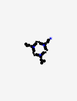 CC(C)c1ccc2cc3c(cc2c1)c1cc(-c2ccc4cc(C#N)ccc4c2)cc2c4cc5cc(C(C)CCC(C)c6ccc7cc8c(cc7c6)c6cc(-c7ccc9c(ccc%10ccccc%109)c7)cc7c9cc%10cc(C(C)CCC(C)c%11ccc%12cc%13c(cc%12c%11)c%11cc(-c%12ccc%14c%15ccccc%15c%15ccccc%15c%14c%12)cc%12c%14cc%15cc(C(C)C)ccc%15cc%14n%13c%12%11)ccc%10cc9n8c67)ccc5cc4n3c12